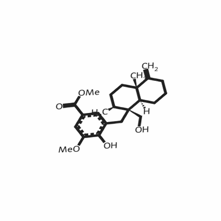 C=C1CCC[C@H]2[C@](CO)(Cc3cc(C(=O)OC)cc(OC)c3O)[C@@H](C)CC[C@]12C